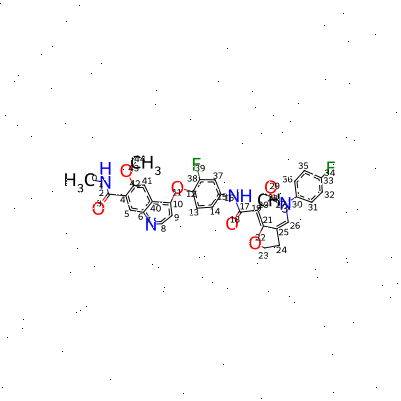 CNC(=O)c1cc2nccc(Oc3ccc(NC(=O)/C(C)=C4\OCC\C4=C\N(C=O)c4ccc(F)cc4)cc3F)c2cc1OC